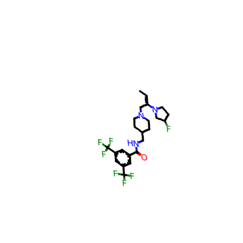 C/C=C(\CN1CCC(CNC(=O)c2cc(C(F)(F)F)cc(C(F)(F)F)c2)CC1)N1CCC(F)C1